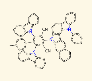 Cc1ccc(-c2c(-n3c4ccccc4c4ccccc43)c(C#N)c(-n3c4cc5ccccc5cc4c4c3ccc3c5ccccc5n(-c5ccccc5)c34)c(C#N)c2-n2c3ccccc3c3ccccc32)cc1